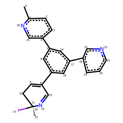 Cc1ccc(-c2cc(C3=CC[C@](C)(I)N=C3)cc(-c3cccnc3)c2)cn1